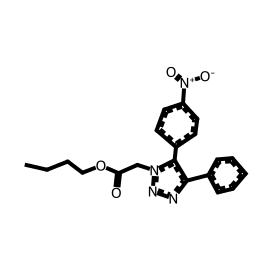 CCCCOC(=O)Cn1nnc(-c2ccccc2)c1-c1ccc([N+](=O)[O-])cc1